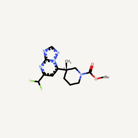 CC(C)(C)OC(=O)N1CCC[C@](C)(c2cc(C(F)F)nc3ncnn23)C1